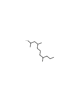 [CH2]C(C)CC(C)CCCC(C)CCC